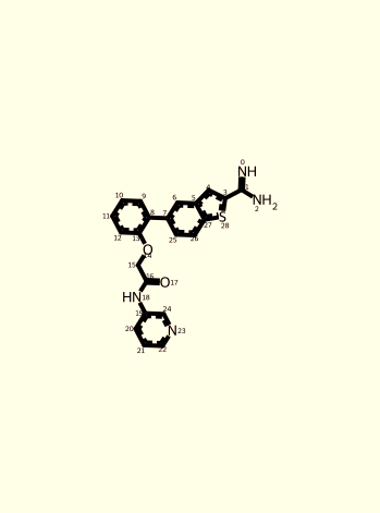 N=C(N)c1cc2cc(-c3ccccc3OCC(=O)Nc3cccnc3)ccc2s1